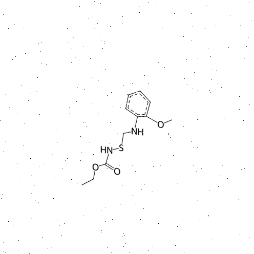 CCOC(=O)NSCNc1ccccc1OC